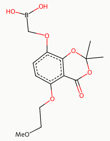 COCCOc1ccc(OCB(O)O)c2c1C(=O)OC(C)(C)O2